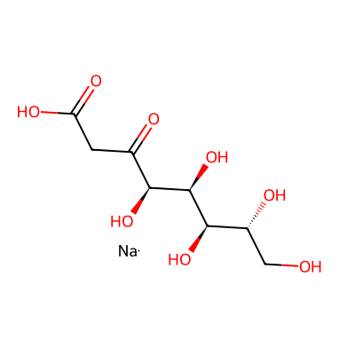 O=C(O)CC(=O)[C@H](O)[C@@H](O)[C@H](O)[C@H](O)CO.[Na]